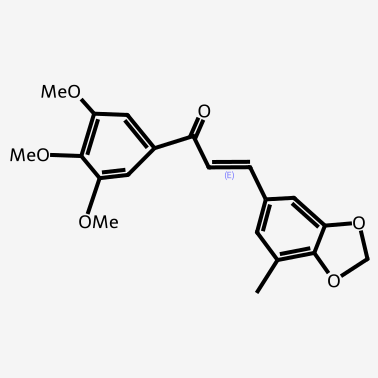 COc1cc(C(=O)/C=C/c2cc(C)c3c(c2)OCO3)cc(OC)c1OC